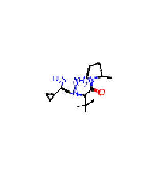 CC1CCCN1C(=O)C(N(N)/C=C(\N)C1CC1)C(C)(C)C